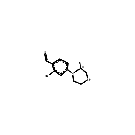 C[C@H]1CNCCN1c1ccc(C=O)c(O)c1